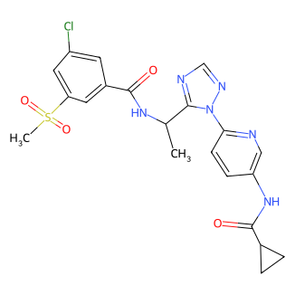 CC(NC(=O)c1cc(Cl)cc(S(C)(=O)=O)c1)c1ncnn1-c1ccc(NC(=O)C2CC2)cn1